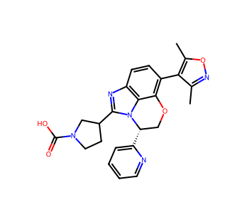 Cc1noc(C)c1-c1ccc2nc(C3CCN(C(=O)O)C3)n3c2c1OC[C@@H]3c1ccccn1